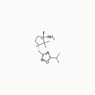 CC(C)c1nc(C[C@@H]2CC[C@](C)(N)C2(C)C)no1